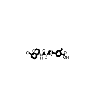 O=C(Nc1csc(-c2ccc(C(=O)O)c(F)c2)n1)N[C@H]1CCOc2c(Cl)cccc21